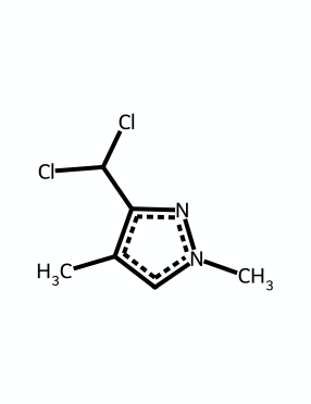 Cc1cn(C)nc1C(Cl)Cl